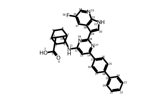 O=C(O)C1C2CCC(CC2)C1Nc1cc(-c2ccc(-c3ccccc3)cc2)nc(-c2c[nH]c3ncc(F)cc23)n1